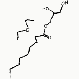 CCCCCCCCC(=O)OCC(O)CO.CCOCC